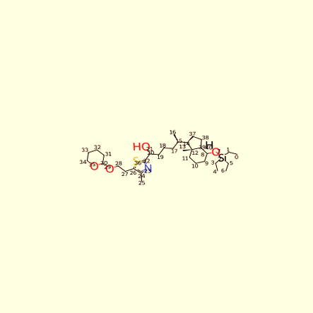 CC[Si](CC)(CC)OC1CCC[C@]2(C)[C@@H]([C@H](C)CCCC(O)c3nc(C)c(CCOC4CCCCO4)s3)CC[C@@H]12